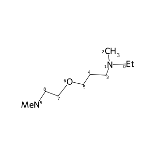 CCN(C)CCCOCCNC